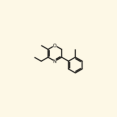 CCC1=C(C)OCC(c2ccccc2C)=N1